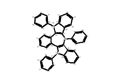 c1ccc(B2c3c(n(-c4ccccc4)c4ccccc34)-c3ccccc3-c3c2c2ccccc2n3-c2ccccc2)cc1